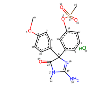 COc1ccc(C2(c3cccc(OS(C)(=O)=O)c3)N=C(N)N(C)C2=O)cc1.Cl